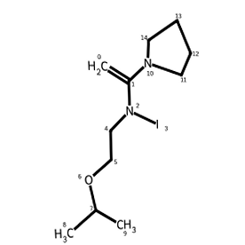 C=C(N(I)CCOC(C)C)N1CCCC1